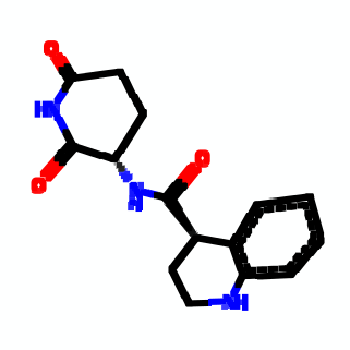 O=C1CC[C@H](NC(=O)[C@@H]2CCNc3ccccc32)C(=O)N1